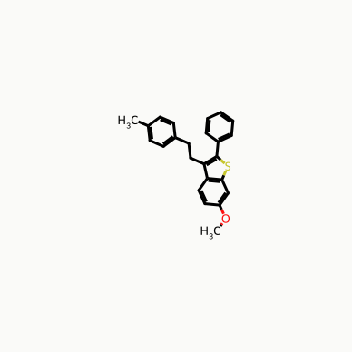 COc1ccc2c(CCc3ccc(C)cc3)c(-c3ccccc3)sc2c1